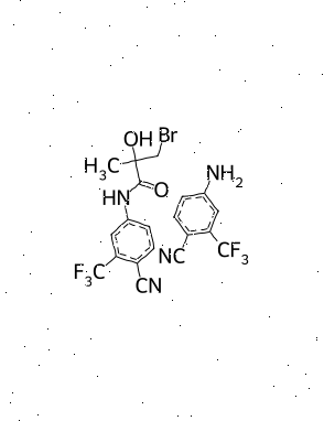 CC(O)(CBr)C(=O)Nc1ccc(C#N)c(C(F)(F)F)c1.N#Cc1ccc(N)cc1C(F)(F)F